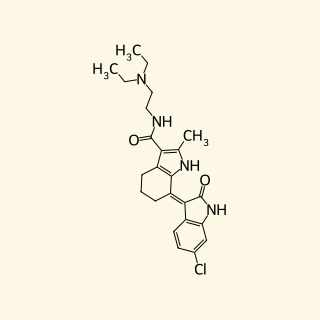 CCN(CC)CCNC(=O)c1c(C)[nH]c2c1CCC/C2=C1/C(=O)Nc2cc(Cl)ccc21